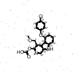 COCc1c(OC(=O)O)ncc2[nH]c3cccc(Oc4ccc(Cl)cc4)c3c12